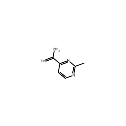 [CH2]c1nccc(C(=N)N)n1